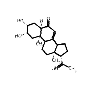 CC(=N)[C@H]1CCC2C3=CC(=O)[C@@H]4C[C@@H](O)[C@@H](O)C[C@]4(C)C3CC[C@@]21C